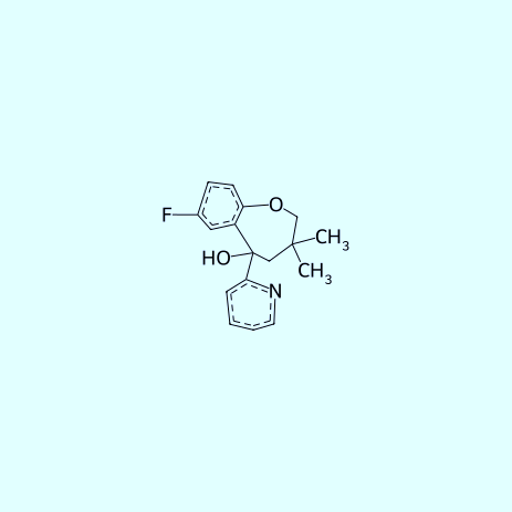 CC1(C)COc2ccc(F)cc2C(O)(c2ccccn2)C1